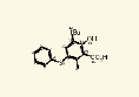 Cc1c(Sc2ccccc2)cc(C(C)(C)C)c(O)c1C(=O)O